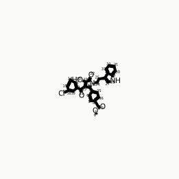 COC(=O)c1ccc(C2C(C(=O)c3cccc(Cl)c3)=C(O)C(=O)N2CCc2c[nH]c3ccccc23)cc1